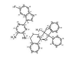 CC(C)(C)[Si](O[C@@H]1CC[C@@H](Nc2nc(-n3cnc4ccc(F)cc43)ncc2N)c2ccccc21)(c1ccccc1)c1ccccc1